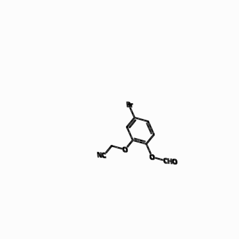 N#CCOc1cc(Br)ccc1OC=O